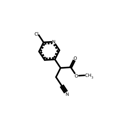 COC(=O)C(CC#N)c1ccc(Cl)nc1